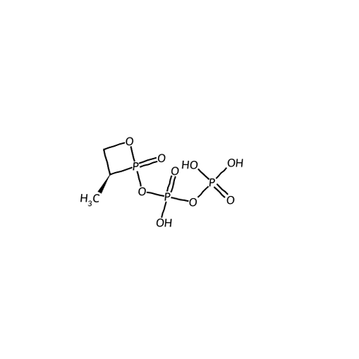 C[C@H]1COP1(=O)OP(=O)(O)OP(=O)(O)O